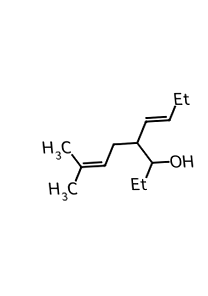 CCC=CC(CC=C(C)C)C(O)CC